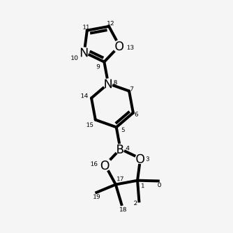 CC1(C)OB(C2=CCN(c3ncco3)CC2)OC1(C)C